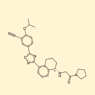 CC(C)Oc1ccc(-c2nc(-c3cccc4c3CCC[C@@H]4NCC(=O)N3CCCC3)no2)cc1C#N